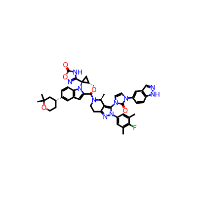 Cc1cc(-n2nc3c(c2-n2ccn(-c4ccc5[nH]ncc5c4)c2=O)[C@H](C)N(C(=O)c2cc4cc([C@@H]5CCOC(C)(C)C5)ccc4n2[C@@]2(c4noc(=O)[nH]4)C[C@@H]2C)CC3)cc(C)c1F